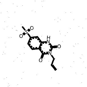 C=CCn1c(=O)[nH]c2cc(S(C)(=O)=O)ccc2c1=O